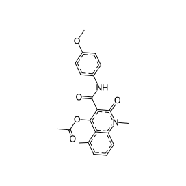 COc1ccc(NC(=O)c2c(OC(C)=O)c3c(C)cccc3n(C)c2=O)cc1